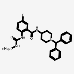 CCCCCCCNC(=O)Nc1ccc(F)cc1C(=O)NC1CCN(C(c2ccccc2)c2ccccc2)CC1